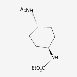 CCOC(=O)N[C@H]1CC[C@H](NC(C)=O)CC1